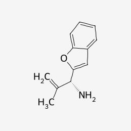 C=C(C)[C@@H](N)c1cc2ccccc2o1